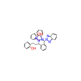 Oc1ccccc1CCC(c1ccccc1C(CCc1ccccc1O)n1nc2ccccc2n1)n1nc2ccccc2n1